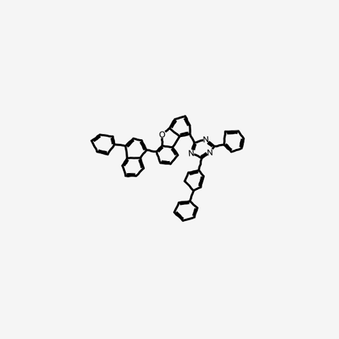 C1=CC(c2ccccc2)CC=C1c1nc(-c2ccccc2)nc(-c2cccc3oc4c(-c5ccc(-c6ccccc6)c6ccccc56)cccc4c23)n1